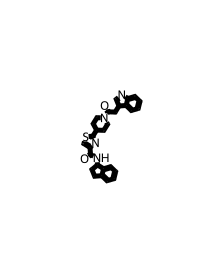 O=C(NC1CCc2ccccc21)c1csc(C2CCN(C(=O)CC3C=Nc4ccccc43)CC2)n1